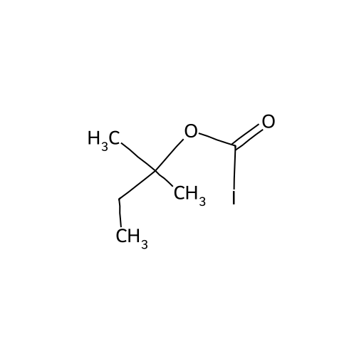 CCC(C)(C)OC(=O)I